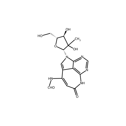 CC1(O)[C@H](O)[C@@H](CO)O[C@H]1n1cc2c3c(ncnc31)NC(=O)C=C2NC=O